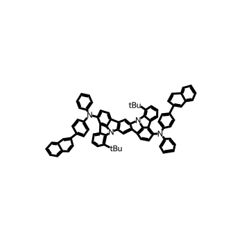 CC(C)(C)c1cccc2c3c(N(c4ccccc4)c4ccc(-c5ccc6ccccc6c5)cc4)ccc4c5cc6c(cc5n(c12)c43)c1ccc(N(c2ccccc2)c2ccc(-c3ccc4ccccc4c3)cc2)c2c3cccc(C(C)(C)C)c3n6c12